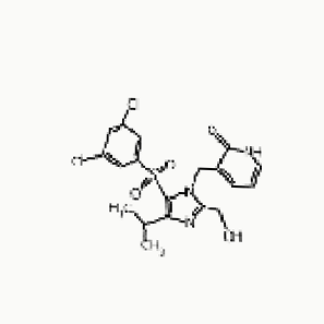 CC(C)c1nc(CO)n(Cc2ccc[nH]c2=O)c1S(=O)(=O)c1cc(Cl)cc(Cl)c1